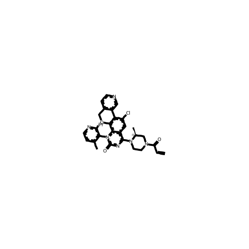 C=CC(=O)N1CCN(c2nc(=O)n(-c3c(C)ccnc3C(C)C)c3c4c(c(Cl)cc23)-c2cnccc2CO4)[C@@H](C)C1